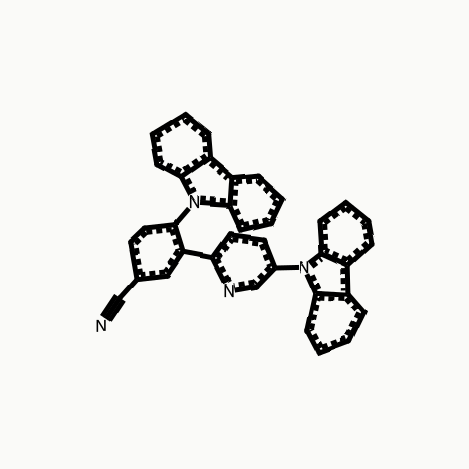 N#Cc1ccc(-n2c3ccccc3c3ccccc32)c(-c2ccc(-n3c4ccccc4c4ccccc43)cn2)c1